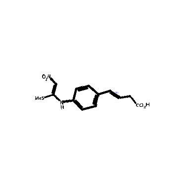 CSC(=C[N+](=O)[O-])Nc1ccc(/C=C/CC(=O)O)cc1